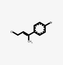 C/C(=C\CCl)c1ccc(Br)cc1